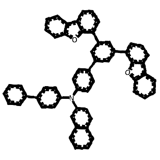 c1ccc(-c2ccc(N(c3ccc(-c4cc(-c5cccc6c5oc5ccccc56)cc(-c5cccc6c5oc5ccccc56)c4)cc3)c3ccc4ccccc4c3)cc2)cc1